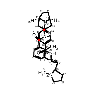 COc1cccc(C(=O)N[C@H]2C[C@H]3CC[C@@H](C2)N3c2ccc(C(=O)NCCC3CCCN3C)cn2)c1C